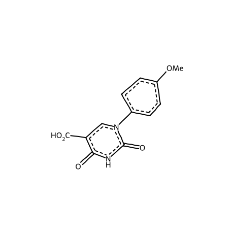 COc1ccc(-n2cc(C(=O)O)c(=O)[nH]c2=O)cc1